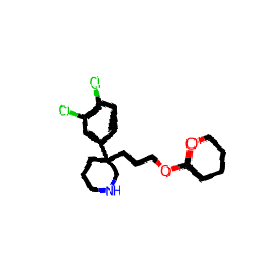 Clc1ccc(C2(CCCOC3CCCCO3)CCCNC2)cc1Cl